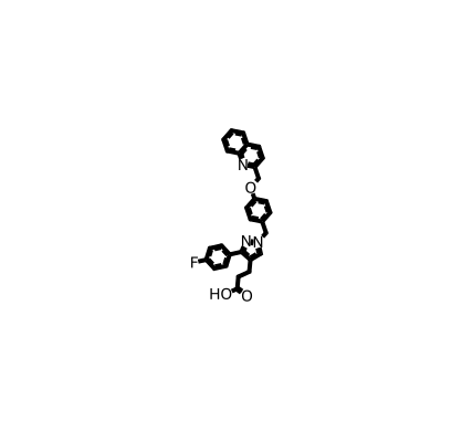 O=C(O)CCc1cn(Cc2ccc(OCc3ccc4ccccc4n3)cc2)nc1-c1ccc(F)cc1